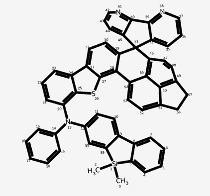 C[Si]1(C)c2ccccc2-c2ccc(N(c3ccccc3)c3cccc4c3sc3c5c(ccc34)C3(c4cccnc4-c4ncccc43)c3ccc4c6c(ccc-5c36)CC4)cc21